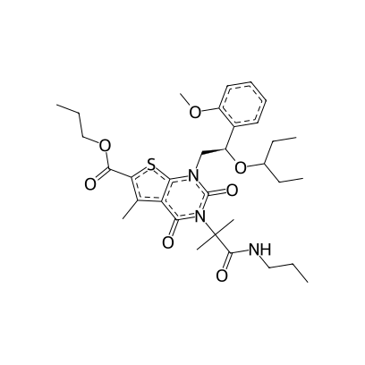 CCCNC(=O)C(C)(C)n1c(=O)c2c(C)c(C(=O)OCCC)sc2n(C[C@H](OC(CC)CC)c2ccccc2OC)c1=O